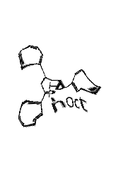 CCCCCCCC[PH]1=C(c2ccccc2)CC(c2ccccc2)CC1c1ccccc1